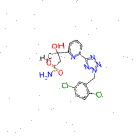 CC(O)(CS(N)(=O)=O)c1cccc(-c2nnn(Cc3cc(Cl)ccc3Cl)n2)n1